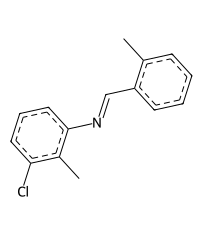 Cc1ccccc1C=Nc1cccc(Cl)c1C